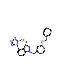 Cc1nnnn1-c1cccc2c1ccn2Cc1cccc(OCc2ccccc2)c1